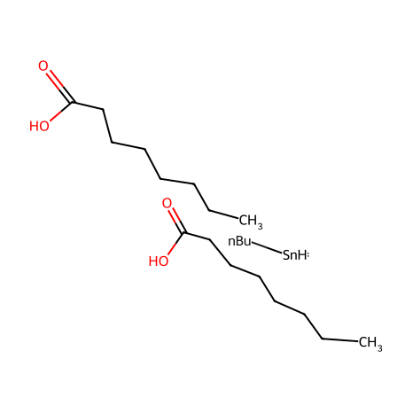 CCCCCCCC(=O)O.CCCCCCCC(=O)O.CCC[CH2][SnH]